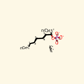 CCCCCCCCCCCCCCCC(CCCCCCCC)OP(=O)([O-])[O-].[K+].[K+]